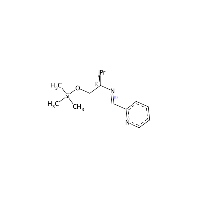 CC(C)[C@H](CO[Si](C)(C)C)/N=C/c1ccccn1